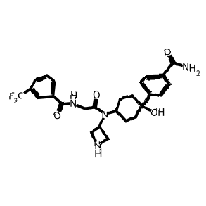 NC(=O)c1ccc(C2(O)CCC(N(C(=O)CNC(=O)c3cccc(C(F)(F)F)c3)C3CNC3)CC2)cc1